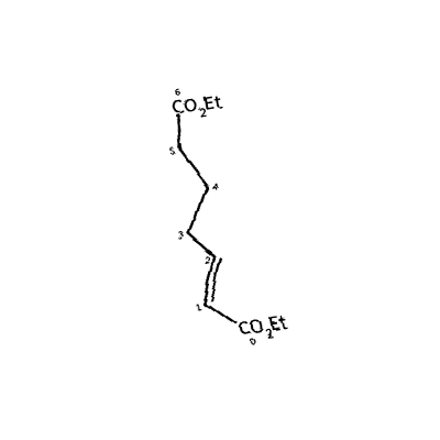 CCOC(=O)C=CCCCC(=O)OCC